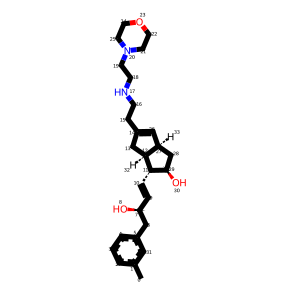 Cc1cccc(C[C@@H](O)/C=C/[C@@H]2[C@H]3CC(CCNCCN4CCOCC4)=C[C@H]3C[C@H]2O)c1